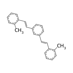 Cc1ccccc1C=Cc1cccc(C=Cc2ccccc2C)c1